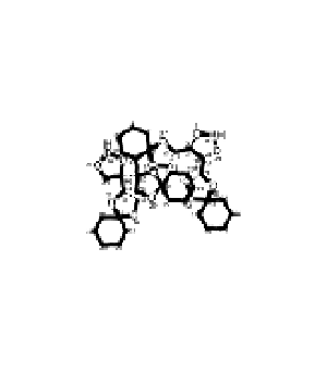 B1O[C@H]([C@@H]2COC3(CCCCC3C3([C@]4([C@@H]5COC6(CCCCC6)O5)COBO4)COC4(CCCCC4)O3)O2)[C@@H]([C@H]2COC3(CCCCC3)O2)O1